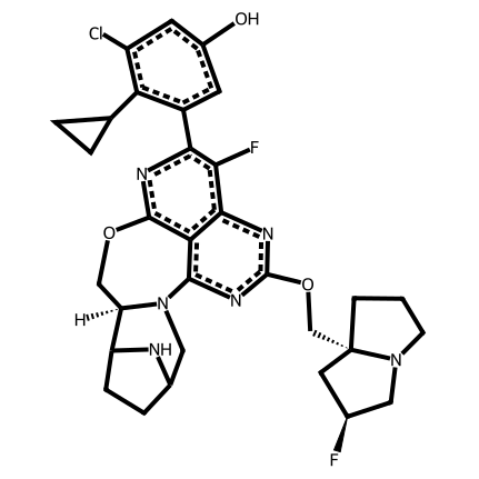 Oc1cc(Cl)c(C2CC2)c(-c2nc3c4c(nc(OC[C@]56CCCN5C[C@@H](F)C6)nc4c2F)N2CC4CCC(N4)[C@H]2CO3)c1